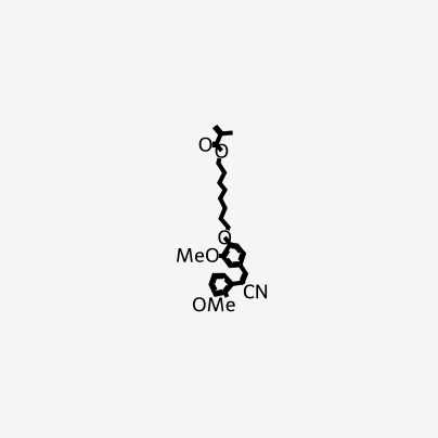 C=C(C)C(=O)OCCCCCCCCOc1ccc(C=C(C#N)c2ccccc2OC)cc1OC